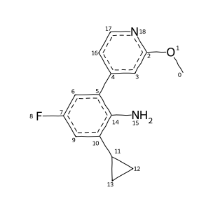 COc1cc(-c2cc(F)cc(C3CC3)c2N)ccn1